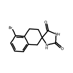 O=C1NC(=O)C2(CCc3c(Br)cccc3C2)N1